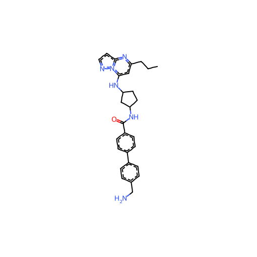 CCCc1cc(NC2CCC(NC(=O)c3ccc(-c4ccc(CN)cc4)cc3)C2)n2nccc2n1